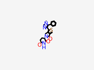 Cn1cnc(-c2scc3c2CN(C2CCC(=O)NC2=O)C3=O)c1-c1ccccc1